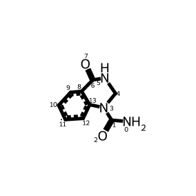 NC(=O)N1CNC(=O)c2cc[c]cc21